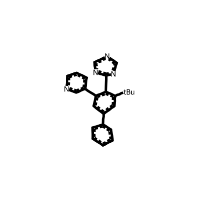 CC(C)(C)c1cc(-c2ccccc2)cc(-c2cccnc2)c1-c1ncncn1